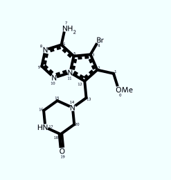 COCc1c(Br)c2c(N)ncnn2c1CN1CCNC(=O)C1